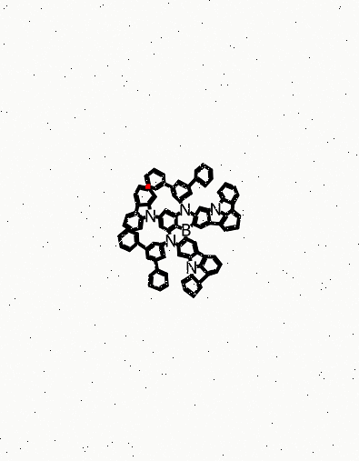 c1ccc(-c2cc(-c3ccccc3)cc(N3c4cc5c(cc4B4c6cc7c8cccc9c%10ccccc%10n(c7cc6N(c6cc(-c7ccccc7)cc(-c7ccccc7)c6)c6cc(-n7c%10ccccc%10c%10ccccc%107)cc3c64)c98)c3cccc4c6ccccc6n5c43)c2)cc1